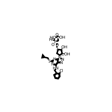 O=P(O)(O)CP(=O)(O)OC[C@H]1C[C@@H](n2nnc3c(NCc4ccccc4Cl)nc(SCC4CC4)nc32)[C@H](O)[C@@H]1O